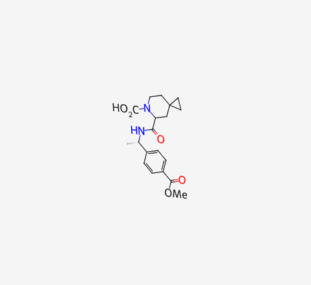 COC(=O)c1ccc([C@H](C)NC(=O)C2CC3(CCN2C(=O)O)CC3)cc1